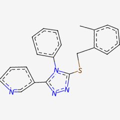 Cc1ccccc1CSc1nnc(-c2cccnc2)n1-c1ccccc1